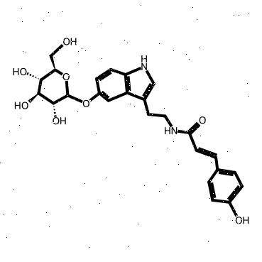 O=C(C=Cc1ccc(O)cc1)NCCc1c[nH]c2ccc(OC3O[C@H](CO)[C@@H](O)[C@H](O)[C@H]3O)cc12